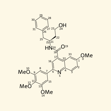 COc1ccc2nc(-c3cc(OC)c(OC)c(OC)c3)cc(C(=O)N[C@H](CCO)Cc3ccccc3)c2c1